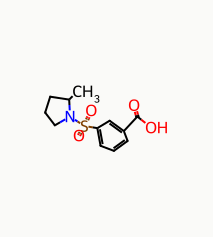 CC1CCCN1S(=O)(=O)c1cccc(C(=O)O)c1